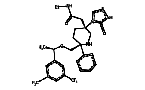 CCNC(=O)C[C@]1(n2cn[nH]c2=O)CC[C@@](CO[C@H](C)c2cc(C(F)(F)F)cc(C(F)(F)F)c2)(c2ccccc2)NC1